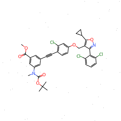 COC(=O)c1cc(C#Cc2ccc(OCc3c(-c4c(Cl)cccc4Cl)noc3C3CC3)cc2Cl)cc(N(C)C(=O)OC(C)(C)C)c1